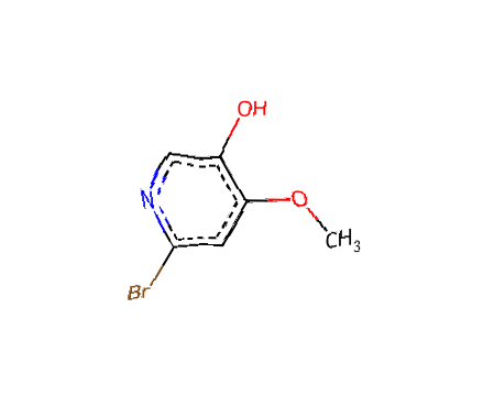 COc1cc(Br)ncc1O